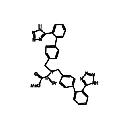 COC(=O)[C@H](C(C)C)N(Cc1ccc(-c2ccccc2-c2nnn[nH]2)cc1)Cc1ccc(-c2ccccc2-c2nnn[nH]2)cc1